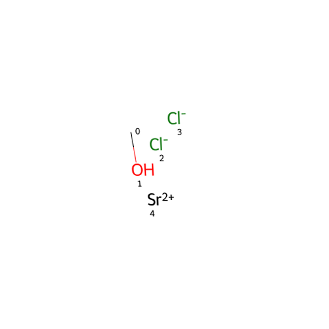 CO.[Cl-].[Cl-].[Sr+2]